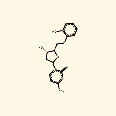 Nc1ccn([C@H]2C[C@H](O)[C@@H](COc3ccccc3O)O2)c(=O)n1